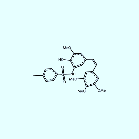 COc1cc(/C=C\c2cc(OC)c(OC)c(OC)c2)cc(NS(=O)(=O)c2ccc(C)cc2)c1O